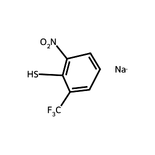 O=[N+]([O-])c1cccc(C(F)(F)F)c1S.[Na]